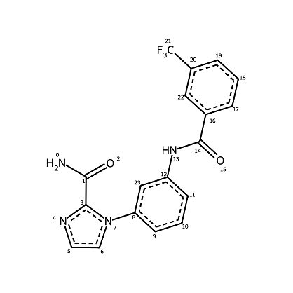 NC(=O)c1nccn1-c1cccc(NC(=O)c2cccc(C(F)(F)F)c2)c1